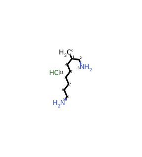 CC(CN)CCCCCCN.Cl